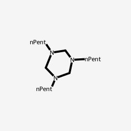 CCCCCN1CN(CCCCC)CN(CCCCC)C1